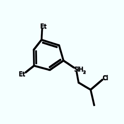 CCc1cc(CC)cc([SiH2]CC(C)Cl)c1